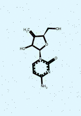 C=C1C(O)[C@H](n2ccc(N)nc2=O)O[C@@H]1CO